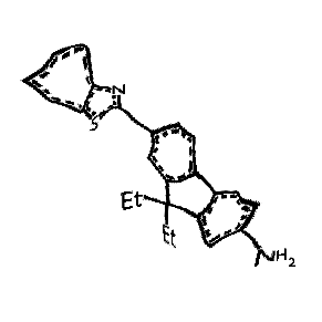 CCC1(CC)c2cc(N)ccc2-c2ccc(-c3nc4ccccc4s3)cc21